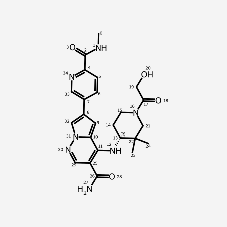 CNC(=O)c1ccc(-c2cc3c(N[C@@H]4CCN(C(=O)CO)CC4(C)C)c(C(N)=O)cnn3c2)cn1